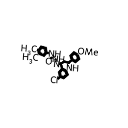 COc1ccc(C2CC(=NNC(=O)Nc3ccc(C)c(C)c3)c3cc(Cl)ccc3N2)cc1